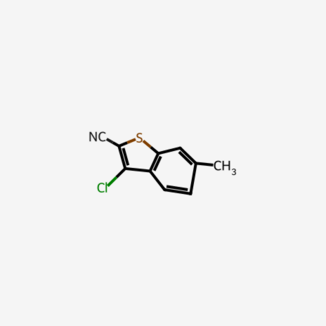 Cc1ccc2c(Cl)c(C#N)sc2c1